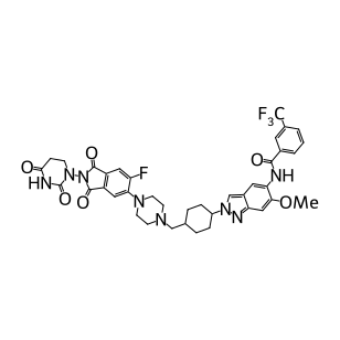 COc1cc2nn(C3CCC(CN4CCN(c5cc6c(cc5F)C(=O)N(N5CCC(=O)NC5=O)C6=O)CC4)CC3)cc2cc1NC(=O)c1cccc(C(F)(F)F)c1